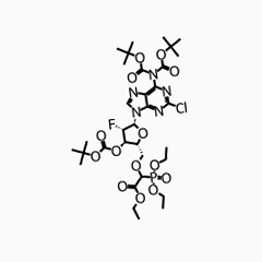 CCOC(=O)C(OC[C@H]1O[C@@H](n2cnc3c(N(C(=O)OC(C)(C)C)C(=O)OC(C)(C)C)nc(Cl)nc32)[C@@H](F)[C@@H]1OC(=O)OC(C)(C)C)P(=O)(OCC)OCC